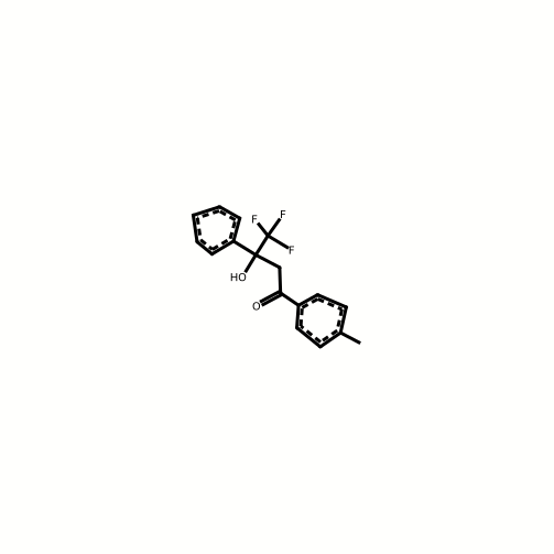 Cc1ccc(C(=O)CC(O)(c2ccccc2)C(F)(F)F)cc1